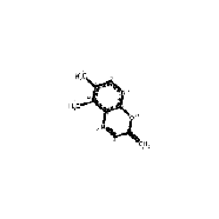 C=C1C=Nc2c(ncc(C)c2C)O1